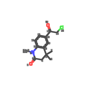 CCN1C(=O)CC(C)(C)c2cc(C(=O)CCl)ccc21